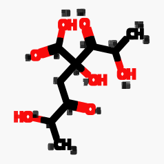 CC(O)C(=O)CC(O)(C(=O)O)C(=O)C(C)O